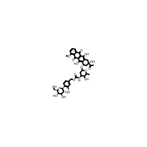 COc1cccc2c1C(=O)c1c(O)c3c(c(O)c1C2=O)C[C@@](O)(C(C)=O)C[C@@H]3OC1CC(NC(=O)OCc2ccc([C@@H]3O[C@H](CO)[C@H](O)[C@H](O)[C@H]3O)c(F)c2)C(O)C(C)O1